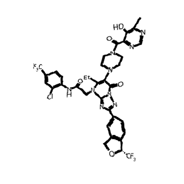 CCc1c(N2CCN(C(=O)c3ncnc(C)c3O)CC2)c(=O)n2nc(-c3ccc4c(c3)CO[C@H]4C(F)(F)F)nc2n1CC(=O)Nc1ccc(C(F)(F)F)cc1Cl